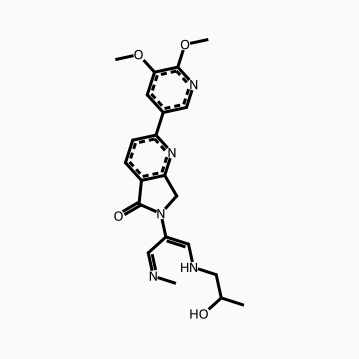 C/N=C\C(=C/NCC(C)O)N1Cc2nc(-c3cnc(OC)c(OC)c3)ccc2C1=O